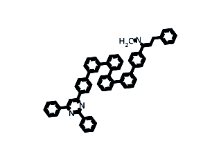 C=N/C(=C\Cc1ccccc1)c1ccc(-c2cccc(-c3ccccc3-c3ccccc3-c3cccc(-c4ccc(-c5cc(-c6ccccc6)nc(-c6ccccc6)n5)cc4)c3)c2)cc1